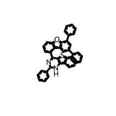 c1ccc(-c2cc(-c3ccccc3)c3oc4cccc(C5=NC(c6ccccc6)Nc6c5sc5ccccc65)c4c3c2)cc1